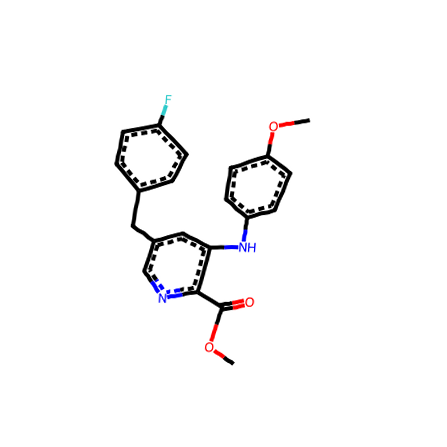 COC(=O)c1ncc(Cc2ccc(F)cc2)cc1Nc1ccc(OC)cc1